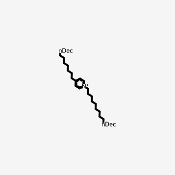 CCCCCCCCCCCCCCCCCCC[n+]1ccc(CCCCCCCCCCCCCCCCC)cc1